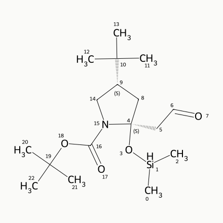 C[SiH](C)O[C@]1(CC=O)C[C@@H](C(C)(C)C)CN1C(=O)OC(C)(C)C